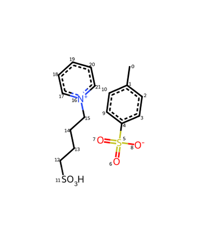 Cc1ccc(S(=O)(=O)[O-])cc1.O=S(=O)(O)CCCC[n+]1ccccc1